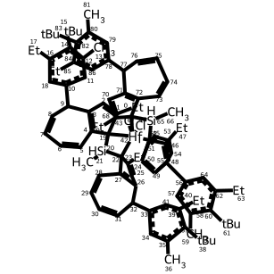 CCC1=CC2=C(C=CC=CC2c2cc(C)c(C(C)(C)C)c(CC)c2)[C]12[SiH](C)[C]1(C(CC)=CC3=C1C=CC=CC3c1cc(C)c(C(C)(C)C)c(CC)c1)[Hf]21([Cl])([Cl])[C]2(C(CC)=CC3=C2C=CC=CC3c2cc(C)c(C(C)(C)C)c(CC)c2)[SiH](C)[C]12C(CC)=CC1=C2C=CC=CC1c1cc(C)c(C(C)(C)C)c(CC)c1